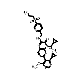 CCCS(=O)(=O)c1ccc(CNc2nc3cnc(-c4c(OC)ncnc4C4CC4)nc3n([C@H](C)C3CC3)c2=O)nc1